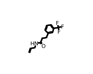 C=CCNC(=O)CCc1cccc(C(F)(F)F)c1